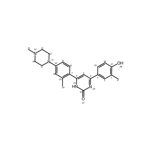 Cc1cc(-c2cc(-c3ccc(N4CCN(C)CC4)cc3C)[nH]c(=O)n2)ccc1O